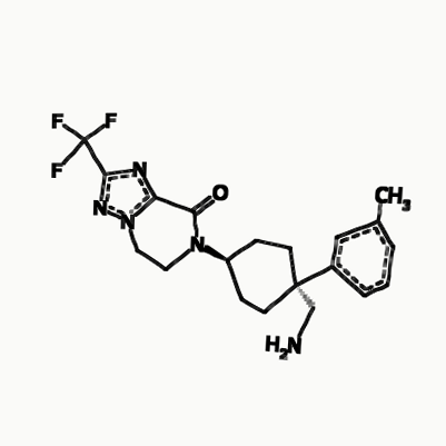 Cc1cccc([C@]2(CN)CC[C@H](N3CCn4nc(C(F)(F)F)nc4C3=O)CC2)c1